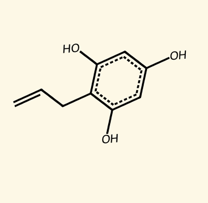 C=CCc1c(O)cc(O)cc1O